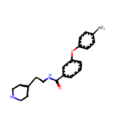 O=C(NCCC1CCNCC1)c1cccc(Oc2ccc([N+](=O)[O-])cc2)c1